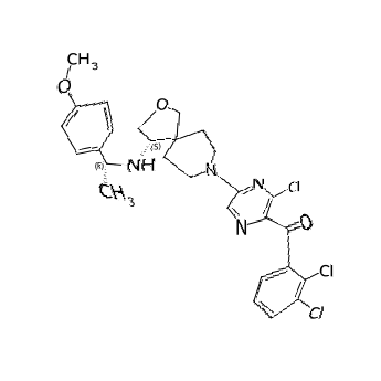 COc1ccc([C@@H](C)N[C@@H]2COCC23CCN(c2cnc(C(=O)c4cccc(Cl)c4Cl)c(Cl)n2)CC3)cc1